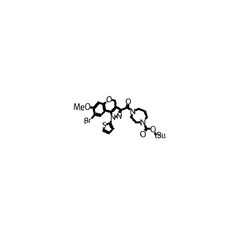 COc1cc2c(cc1Br)-c1c(c(C(=O)N3CCCN(C(=O)OC(C)(C)C)CC3)nn1-c1cccs1)CO2